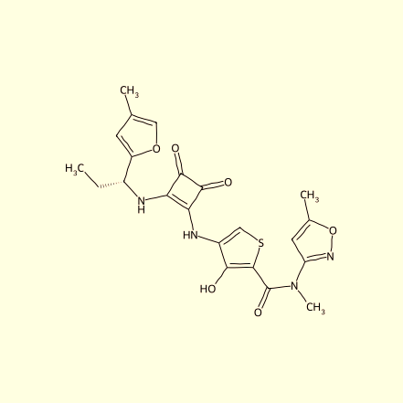 CC[C@@H](Nc1c(Nc2csc(C(=O)N(C)c3cc(C)on3)c2O)c(=O)c1=O)c1cc(C)co1